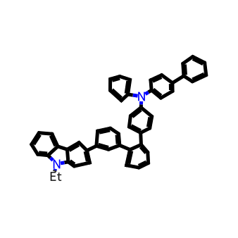 CCn1c2ccccc2c2cc(-c3cccc(-c4ccccc4-c4ccc(N(c5ccccc5)c5ccc(-c6ccccc6)cc5)cc4)c3)ccc21